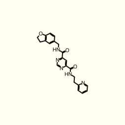 O=C(NCCc1ccccn1)c1cc(C(=O)NCc2ccc3c(c2)CCO3)ncn1